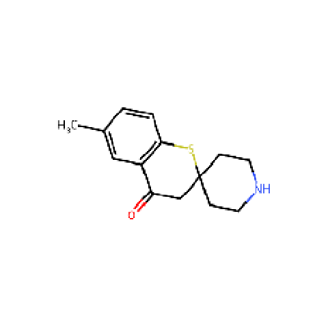 Cc1ccc2c(c1)C(=O)CC1(CCNCC1)S2